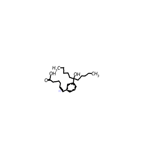 CCCCCC(O)(CCCCC)c1cccc(/C=C\CCCC(=O)O)c1